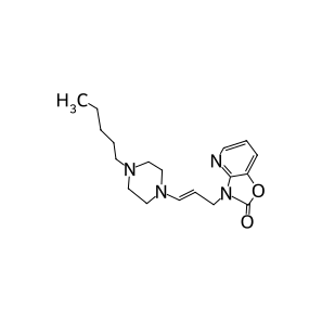 CCCCCN1CCN(C=CCn2c(=O)oc3cccnc32)CC1